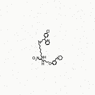 CN(CCCCCCCNC(=C[N+](=O)[O-])NCCCOc1cccc(CN2CCCCC2)c1)CCC(c1ccc(Cl)cc1)c1ccccn1